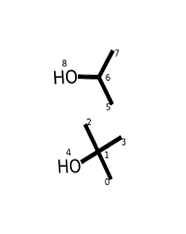 CC(C)(C)O.CC(C)O